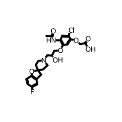 CC(=O)Nc1cc(Cl)c(OCC(=O)O)cc1OC[C@@H](O)CN1CCC2(CC1)Cc1cc(F)ccc1O2